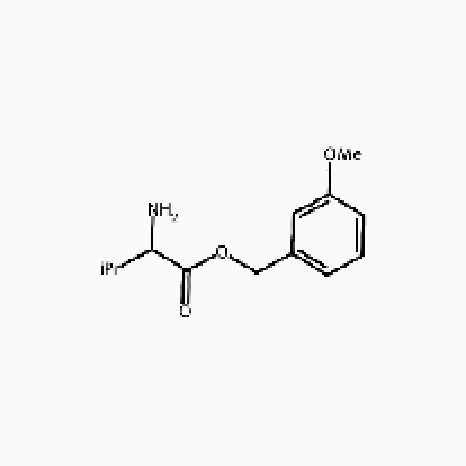 COc1cccc(COC(=O)C(N)C(C)C)c1